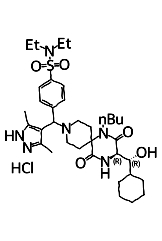 CCCCN1C(=O)[C@@H]([C@H](O)C2CCCCC2)NC(=O)C12CCN(C(c1ccc(S(=O)(=O)N(CC)CC)cc1)c1c(C)n[nH]c1C)CC2.Cl